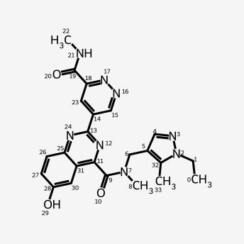 CCn1ncc(CN(C)C(=O)c2nc(-c3cnnc(C(=O)NC)c3)nc3ccc(O)cc23)c1C